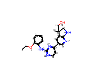 CCOc1ccccc1Nc1nccc(-c2cnc3c(c2)C(C)(CO)CN3)n1